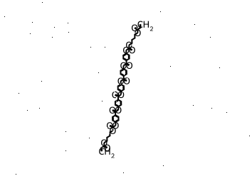 C=CC(=O)OCCCCOC(=O)Oc1ccc(C(=O)Oc2ccc(C(=O)Oc3ccc(OC(=O)c4ccc(OC(=O)c5ccc(OC(=O)OCCCCOC(=O)C=C)cc5)cc4)cc3)cc2)cc1